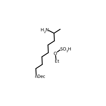 CCCCCCCCCCCCCCCCC(C)N.CCOS(=O)(=O)O